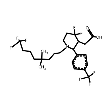 CC(C)(CCCN1CCC(F)(F)C(CC(=O)O)C1c1ccc(C(F)(F)F)cc1)CCCC(F)(F)F